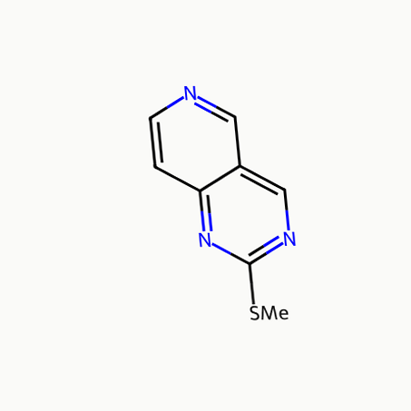 CSc1ncc2cnccc2n1